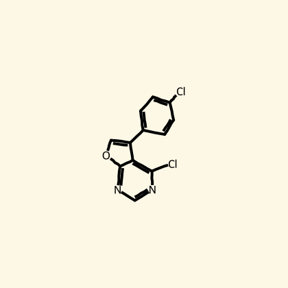 Clc1ccc(-c2coc3ncnc(Cl)c23)cc1